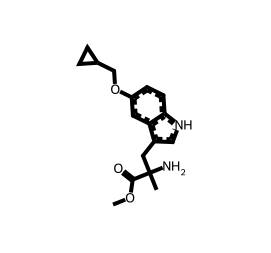 COC(=O)C(C)(N)Cc1c[nH]c2ccc(OCC3CC3)cc12